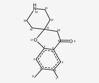 Cc1cc2c(cc1C)C(=O)CC1(CCNCC1)O2